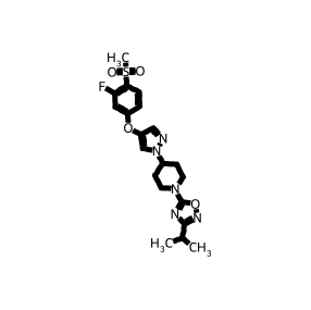 CC(C)c1noc(N2CCC(n3cc(Oc4ccc(S(C)(=O)=O)c(F)c4)cn3)CC2)n1